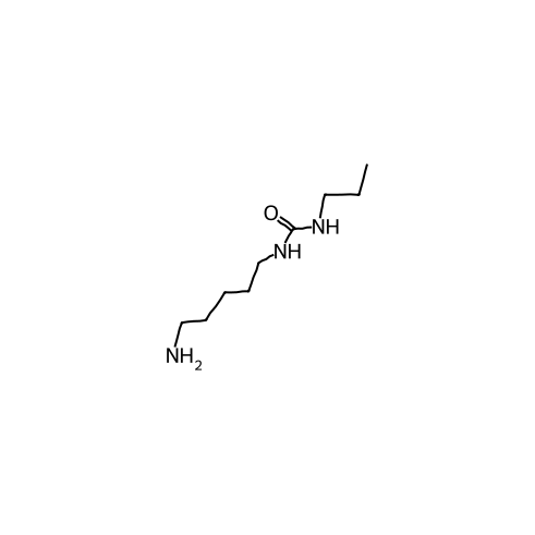 CCCNC(=O)NCCCCCN